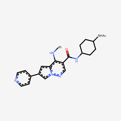 CC(=O)NC1CCC(NC(=O)c2cnn3cc(-c4ccncc4)cc3c2NC(C)C)CC1